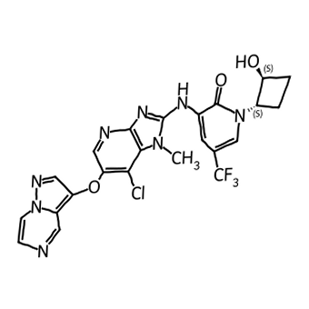 Cn1c(Nc2cc(C(F)(F)F)cn([C@H]3CC[C@@H]3O)c2=O)nc2ncc(Oc3cnn4ccncc34)c(Cl)c21